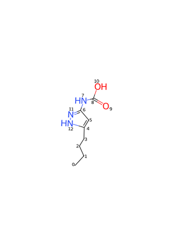 CCCCc1cc(NC(=O)O)n[nH]1